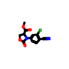 COC(=O)C1COC(=O)N1c1ccc(C#N)c(Cl)c1